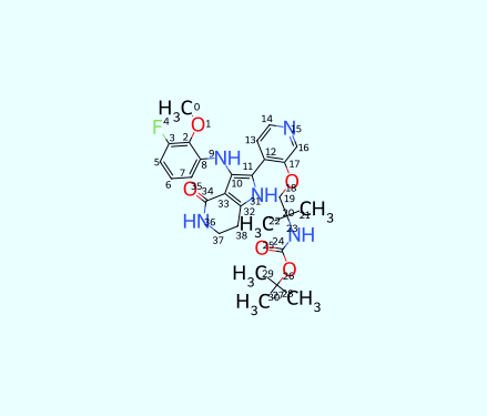 COc1c(F)cccc1Nc1c(-c2ccncc2OCC(C)(C)NC(=O)OC(C)(C)C)[nH]c2c1C(=O)NCC2